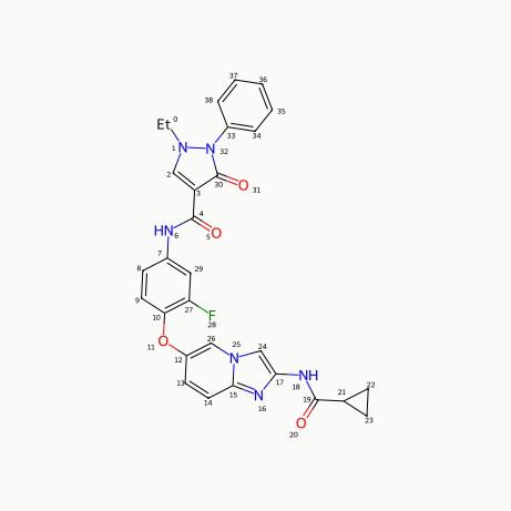 CCn1cc(C(=O)Nc2ccc(Oc3ccc4nc(NC(=O)C5CC5)cn4c3)c(F)c2)c(=O)n1-c1ccccc1